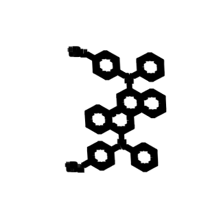 CC(C)(C)c1ccc(N(c2ccccc2)c2cc3c4ccccc4c(N(c4ccccc4)c4ccc(C(C)(C)C)cc4)cc3c3ccccc23)cc1